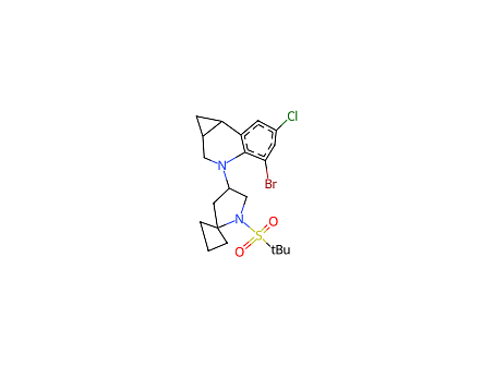 CC(C)(C)S(=O)(=O)N1CC(N2CC3CC3c3cc(Cl)cc(Br)c32)CC12CCC2